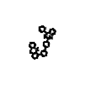 CC1(C)c2ccccc2Sc2cccc(-c3cccc(-c4ccc(-c5nc(-c6ccccc6)c6ccccc6n5)cc4)c3)c21